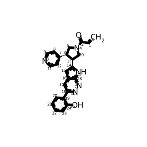 C=CC(=O)N1C[C@@H](c2ccncc2)[C@H](c2cc3cc(-c4ccccc4O)nnc3[nH]2)C1